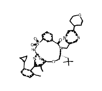 Cc1cccc(C2CC2)c1-c1nc2nc(c1C)OC[C@@H](CC(C)(C)C)N(Cc1cnc(C3CCOCC3)cn1)C(=O)c1cccc(c1)S(=O)(=O)N2